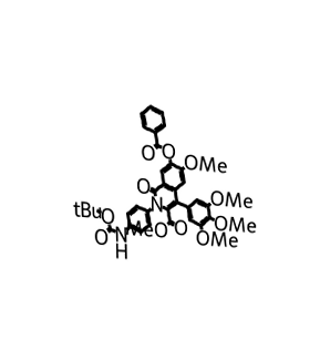 COC(=O)c1c(-c2cc(OC)c(OC)c(OC)c2)c2cc(OC)c(OC(=O)c3ccccc3)cc2c(=O)n1-c1ccc(NC(=O)OC(C)(C)C)cc1